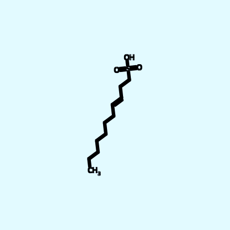 CCCCCCCC=CCCS(=O)(=O)O